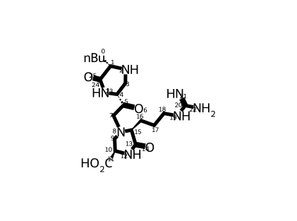 CCCC[C@@H]1NC[C@H](C(=O)CN2C[C@H](C(=O)O)NC(=O)[C@@H]2CCCNC(=N)N)NC1=O